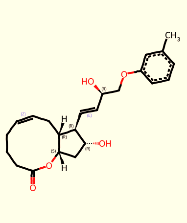 Cc1cccc(OC[C@H](O)/C=C/[C@@H]2[C@H]3C/C=C\CCCC(=O)O[C@H]3C[C@H]2O)c1